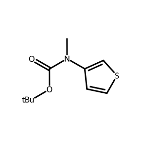 CN(C(=O)OC(C)(C)C)c1ccsc1